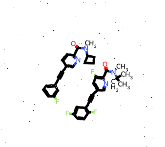 CN(C(=O)c1ccc(C#Cc2cccc(F)c2)cn1)C1CCC1.CN(C(=O)c1ncc(C#Cc2cc(F)ccc2F)cc1F)C(C)(C)C